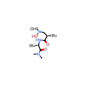 CCCC[C@H](CN(O)C=O)C(=O)N[C@@H](C(=O)N(C)C)C(C)(C)C